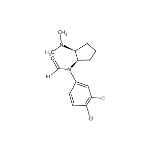 CCC(=O)N(c1ccc(Cl)c(Cl)c1)[C@@H]1CCC[C@@H]1N(C)C